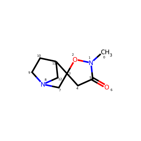 CN1OC2(CC1=O)CN1CCC2C1